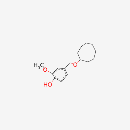 COc1cc(COC2CCCCCCC2)ccc1O